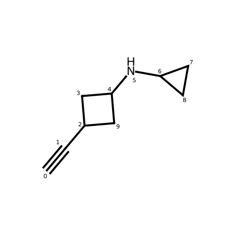 C#CC1CC(NC2CC2)C1